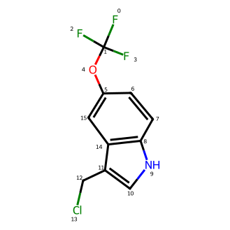 FC(F)(F)Oc1ccc2[nH]cc(CCl)c2c1